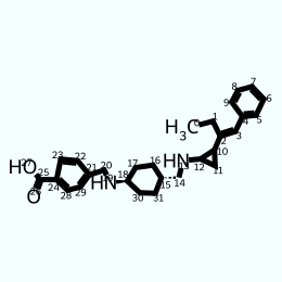 CC/C(=C\c1ccccc1)C1CC1NC[C@H]1CC[C@H](NCc2ccc(C(=O)O)cc2)CC1